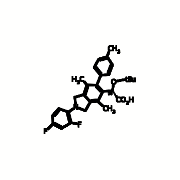 Cc1ccc(-c2c(C)c3c(c(C)c2[C@H](OC(C)(C)C)C(=O)O)CN(c2ccc(F)cc2F)C3)cc1